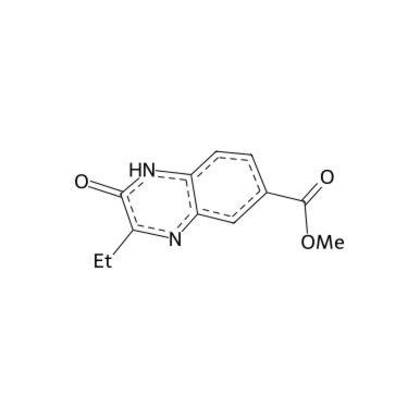 CCc1nc2cc(C(=O)OC)ccc2[nH]c1=O